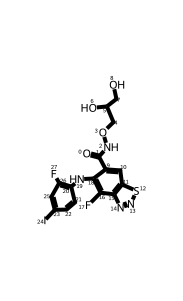 O=C(NOCC(O)CO)c1cc2snnc2c(F)c1Nc1ccc(I)cc1F